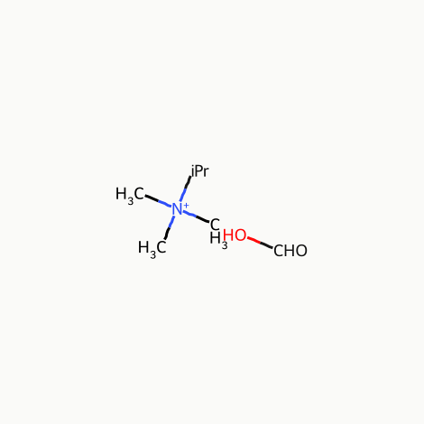 CC(C)[N+](C)(C)C.O=CO